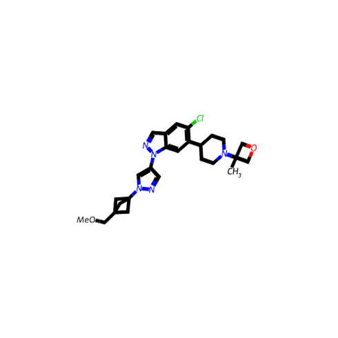 COCC12CC(n3cc(-n4ncc5cc(Cl)c(C6CCN(C7(C)COC7)CC6)cc54)cn3)(C1)C2